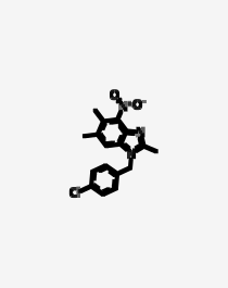 Cc1cc2c(nc(C)n2Cc2ccc(Cl)cc2)c([N+](=O)[O-])c1C